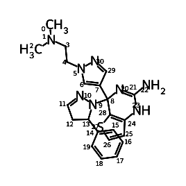 CN(C)CCn1cc(C2(N3N=CCC3c3ccccc3)N=C(N)Nc3ccsc32)cn1